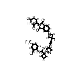 CC1(C#Cc2cnn(C3(C(=O)Nc4ccc(C(F)(F)F)cc4Cl)CCC3)c2)CN(c2ccc3c(c2)C(=O)N(C2CCC(=O)NC2=O)C3=O)C1